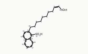 CCCCCCCC/C=C\CCCCCCCCc1ccc2ccccc2c1S(=O)(=O)O